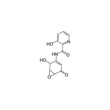 O=C(NC1=CC(=O)C2OC2C1O)c1ncccc1O